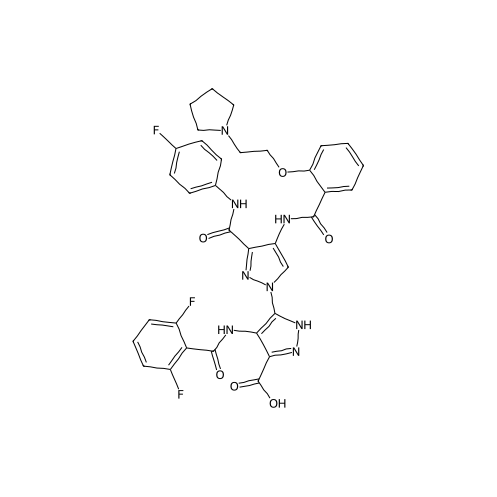 O=C(Nc1cn(-c2[nH]nc(C(=O)O)c2NC(=O)c2c(F)cccc2F)nc1C(=O)Nc1ccc(F)cc1)c1ccccc1OCCN1CCCC1